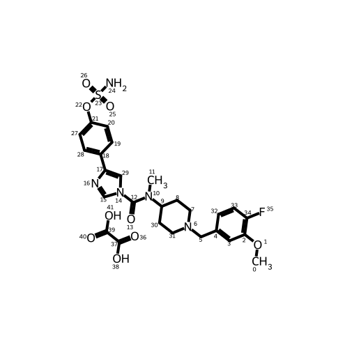 COc1cc(CN2CCC(N(C)C(=O)n3cnc(-c4ccc(OS(N)(=O)=O)cc4)c3)CC2)ccc1F.O=C(O)C(=O)O